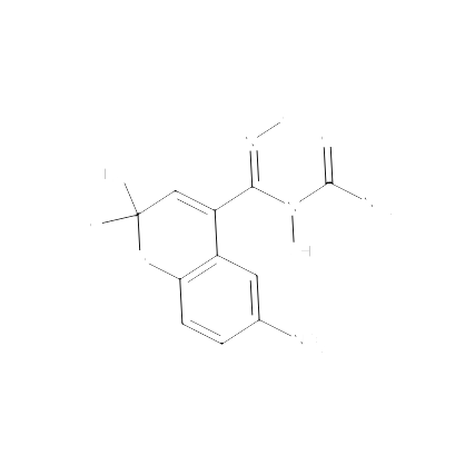 CN=C(C1=CC(C)(C)Oc2ccc([N+](=O)[O-])cc21)N(C)C(N)=O